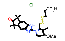 COc1cc[n+](-c2nc3cc4c(cc3[nH]2)C(C)(C)C(=O)C4(C)C)c(CSSCCC(=O)O)c1C.[Cl-]